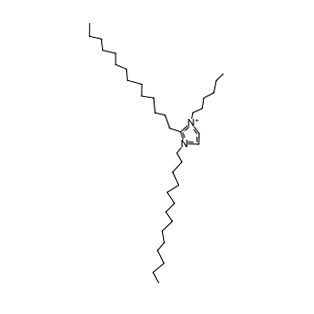 CCCCCCCCCCCCCCc1n(CCCCCCCCCCCCCC)cc[n+]1CCCCCC